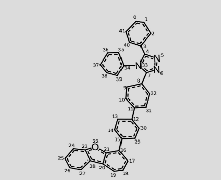 c1ccc(-c2nnc(-c3ccc(-c4ccc(-c5cccc6c5oc5ccccc56)cc4)cc3)n2-c2ccccc2)cc1